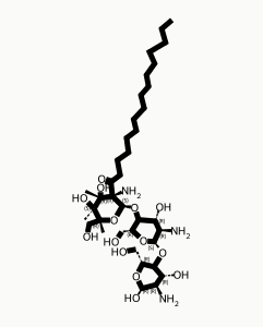 CCCCCCCCCCCCCCCC(=O)[C@]1(N)[C@@H](OC2[C@@H](CO)O[C@@H](OC3[C@@H](CO)O[C@@H](O)[C@H](N)[C@H]3O)[C@H](N)[C@H]2O)O[C@](C)(CO)[C@@](C)(O)[C@]1(C)O